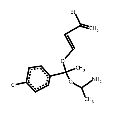 C=C(/C=C/OC(C)(OC(C)N)c1ccc(Cl)cc1)CC